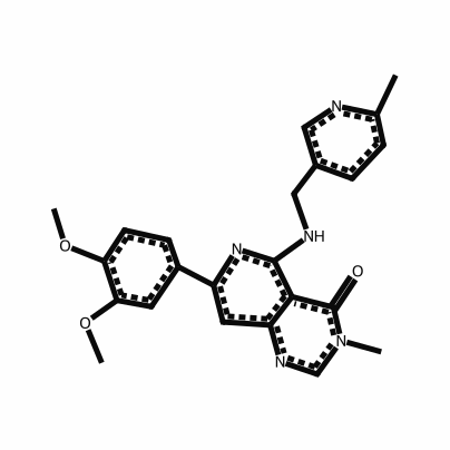 COc1ccc(-c2cc3ncn(C)c(=O)c3c(NCc3ccc(C)nc3)n2)cc1OC